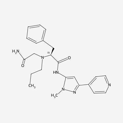 CCCN(CC(N)=O)[C@@H](Cc1ccccc1)C(=O)Nc1cc(-c2ccncc2)nn1C